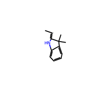 C[C]=C1Nc2ccccc2C1(C)C